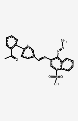 CC(=O)c1ccccc1-c1ccc(/C=N/c2cc(S(=O)(=O)O)c3ccccc3c2N=NN)cn1